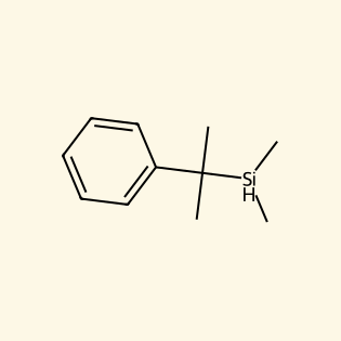 C[SiH](C)C(C)(C)c1ccccc1